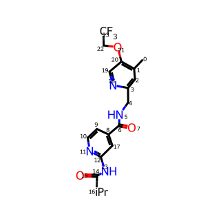 Cc1cc(CNC(=O)c2ccnc(NC(=O)C(C)C)c2)ncc1OCC(F)(F)F